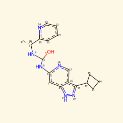 C[C@@H](NC(O)Nc1cc2[nH]nc(C3CCC3)c2cn1)c1ccccn1